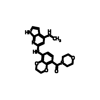 CNc1cc(Nc2ccc(C(=O)N3CCOCC3)c3c2OCCO3)nc2[nH]ccc12